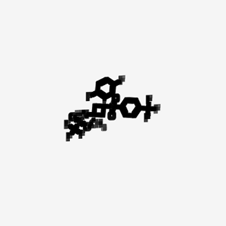 C[C@]1(NS(=O)(=O)C(F)(F)F)C[C@@](c2cc(F)ccc2F)(S(=O)(=O)c2ccc(C(F)(F)F)cc2)C1